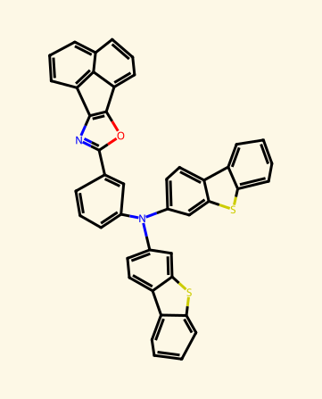 c1cc(-c2nc3c(o2)-c2cccc4cccc-3c24)cc(N(c2ccc3c(c2)sc2ccccc23)c2ccc3c(c2)sc2ccccc23)c1